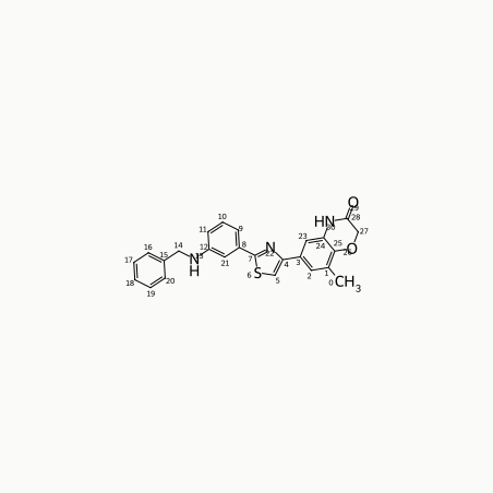 Cc1cc(-c2csc(-c3cccc(NCc4ccccc4)c3)n2)cc2c1OCC(=O)N2